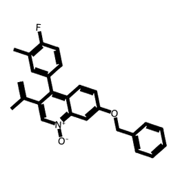 C=C(C)c1c[n+]([O-])c2cc(OCc3ccccc3)ccc2c1-c1ccc(F)c(C)c1